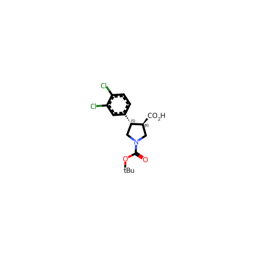 CC(C)(C)OC(=O)N1C[C@H](C(=O)O)[C@@H](c2ccc(Cl)c(Cl)c2)C1